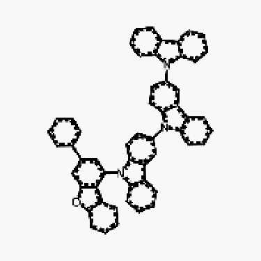 c1ccc(-c2cc(-n3c4ccccc4c4cc(-n5c6ccccc6c6cc(-n7c8ccccc8c8ccccc87)ccc65)ccc43)c3c(c2)oc2ccccc23)cc1